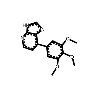 COc1cc(-c2ccnc3[nH]cnc23)cc(OC)c1OC